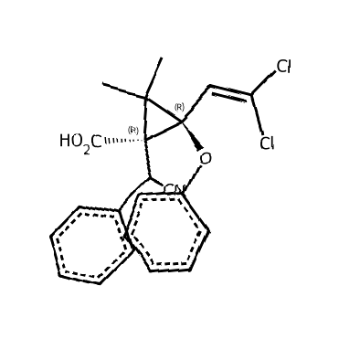 CC1(C)[C@](C(=O)O)(C(C#N)c2ccccc2)[C@]1(C=C(Cl)Cl)Oc1ccccc1